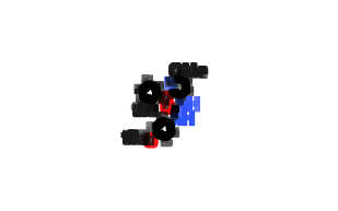 COc1ccc(NC(=O)Nc2ccc(OC(C)(C)C)cc2)c(Oc2ccccc2C(C)(C)C)n1